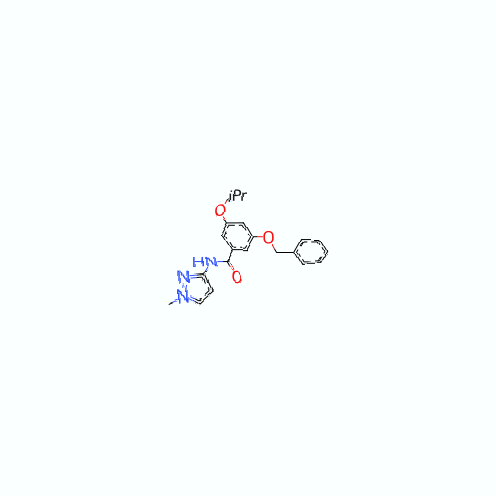 CC(C)Oc1cc(OCc2ccccc2)cc(C(=O)Nc2ccn(C)n2)c1